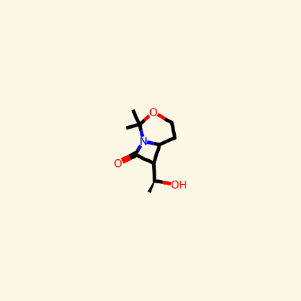 C[C@H](O)C1C(=O)N2C1CCOC2(C)C